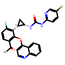 CCC(=O)c1ccc(F)c([C@@H]2C[C@@H]2NC(=O)Nc2ccc(Br)cn2)c1Oc1ccnc2ccccc12